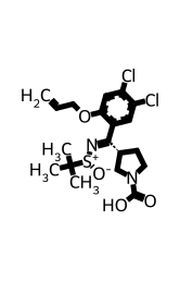 C=CCOc1cc(Cl)c(Cl)cc1/C(=N/[S+]([O-])C(C)(C)C)[C@@H]1CCN(C(=O)O)C1